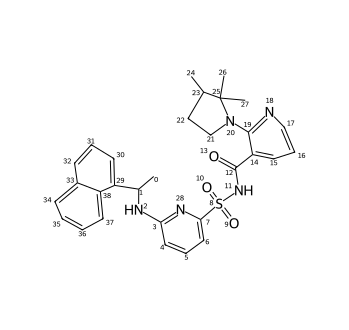 CC(Nc1cccc(S(=O)(=O)NC(=O)c2cccnc2N2CCC(C)C2(C)C)n1)c1cccc2ccccc12